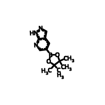 CC1(C)OB(c2cnc3[nH]ncc3c2)OC1(C)C